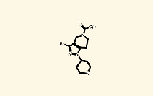 O=C(O)N1CCc2c(c(Br)nn2C2CCSCC2)C1